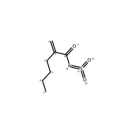 C=C(CCCC)C(=O)N=S(=O)=O